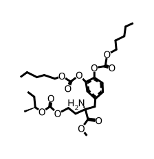 CCCCCOC(=O)Oc1ccc(C[C@](N)(CCOC(=O)O[C@@H](C)CC)C(=O)OC)cc1OC(=O)OCCCCC